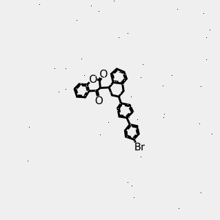 O=C1Oc2ccccc2C(=O)C1C1CC(c2ccc(-c3ccc(Br)cc3)cc2)Cc2ccccc21